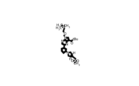 CC(C)(C)C(=O)c1cn(COCC[Si](C)(C)C)c2ncc(-c3cccc(N4C[C@@H]5C(CS(C)(=O)=O)[C@@H]5C4)c3)nc12